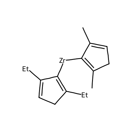 CCC1=CCC(CC)=[C]1[Zr][C]1=C(C)CC=C1C